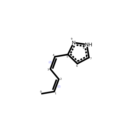 C/C=C\C=C/c1cc[nH]n1